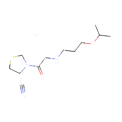 CC(C)OCCCNCC(=O)N1CSC[C@H]1C#N.Cl